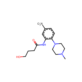 CN1CCN(c2ccc([N+](=O)[O-])cc2NC(=O)CCCO)CC1